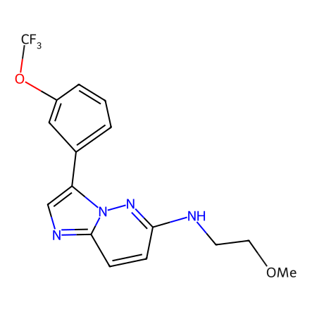 COCCNc1ccc2ncc(-c3cccc(OC(F)(F)F)c3)n2n1